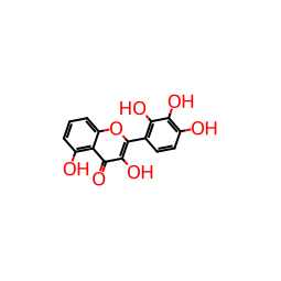 O=c1c(O)c(-c2ccc(O)c(O)c2O)oc2cccc(O)c12